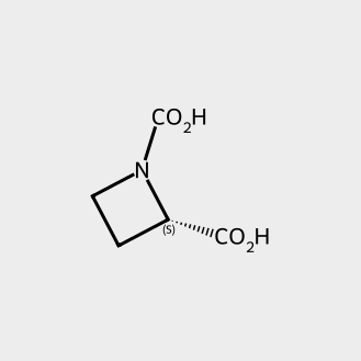 O=C(O)[C@@H]1CCN1C(=O)O